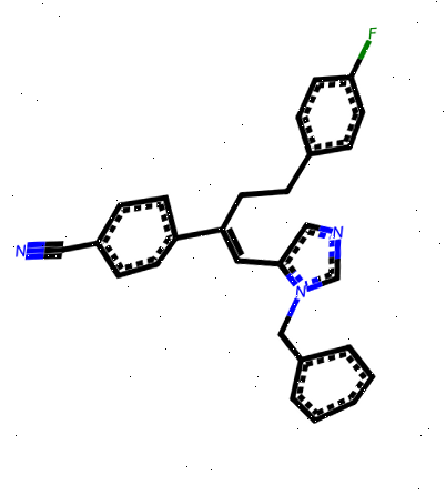 N#Cc1ccc(/C(=C/c2cncn2Cc2ccccc2)CCc2ccc(F)cc2)cc1